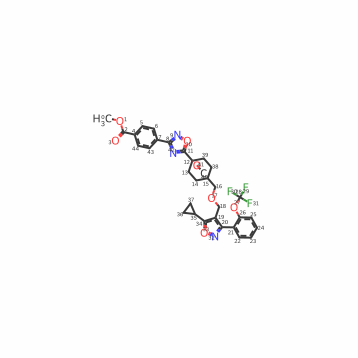 COC(=O)c1ccc(-c2noc(C34CCC(COCc5c(-c6ccccc6OC(F)(F)F)noc5C5CC5)(CC3)CO4)n2)cc1